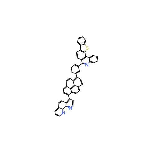 C1=C(c2nc3ccccc3c3c2ccc2c4ccccc4sc23)C=C(c2ccc3ccc4c(-c5ccnc6c5ccc5cccnc56)ccc5ccc2c3c54)CC1